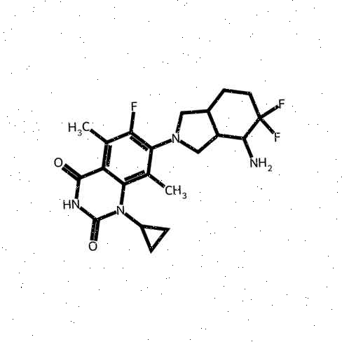 Cc1c(F)c(N2CC3CCC(F)(F)C(N)C3C2)c(C)c2c1c(=O)[nH]c(=O)n2C1CC1